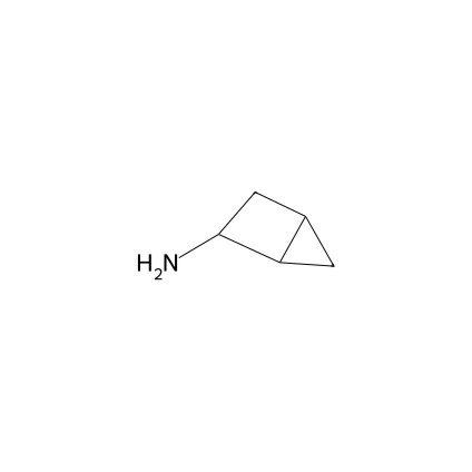 NC1CC2CC12